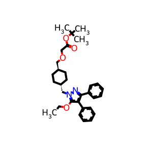 CCOc1c(-c2ccccc2)c(-c2ccccc2)nn1C[C@H]1CC[C@H](COCC(=O)OC(C)(C)C)CC1